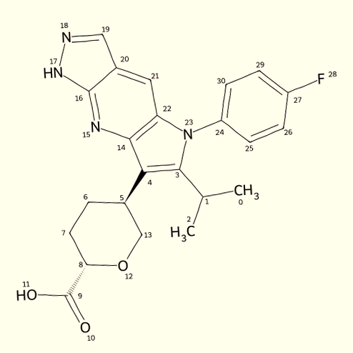 CC(C)c1c([C@@H]2CC[C@@H](C(=O)O)OC2)c2nc3[nH]ncc3cc2n1-c1ccc(F)cc1